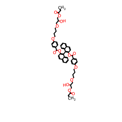 C=CC(=O)OCC(O)COCCCCOc1ccc(C(=O)Oc2ccc3ccccc3c2-c2c(OC(=O)c3ccc(OCCCCOCC(O)COC(=O)C=C)cc3)ccc3ccccc23)cc1